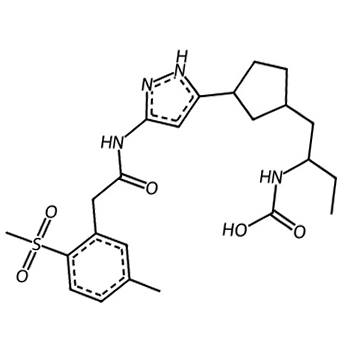 CCC(CC1CCC(c2cc(NC(=O)Cc3cc(C)ccc3S(C)(=O)=O)n[nH]2)C1)NC(=O)O